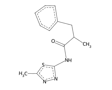 Cc1nnc(NC(=O)C(C)Cc2ccccc2)s1